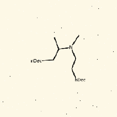 CCCCCCCCCCCCN(C)C(C)CCCCCCCCCCC